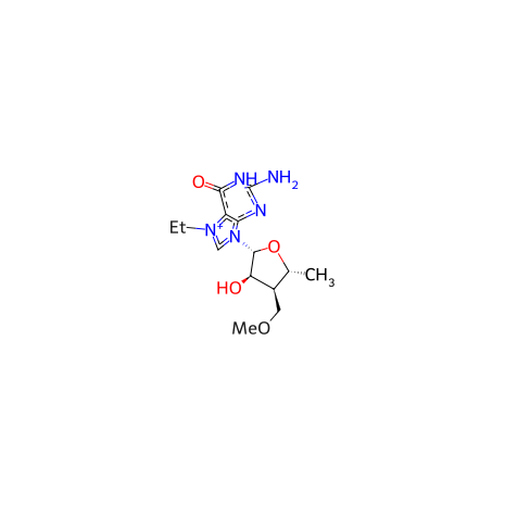 CC[n+]1cn([C@@H]2O[C@H](C)[C@@H](COC)[C@H]2O)c2nc(N)[nH]c(=O)c21